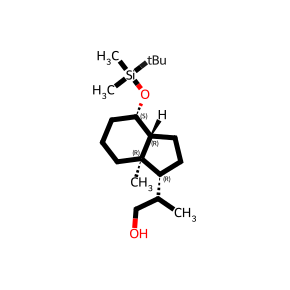 CC(CO)[C@H]1CC[C@H]2[C@@H](O[Si](C)(C)C(C)(C)C)CCC[C@]12C